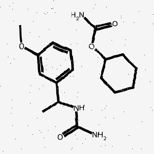 COc1cccc(C(C)NC(N)=O)c1.NC(=O)OC1CCCCC1